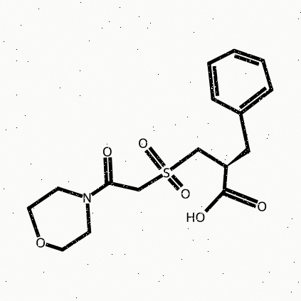 O=C(O)[C@H](Cc1ccccc1)CS(=O)(=O)CC(=O)N1CCOCC1